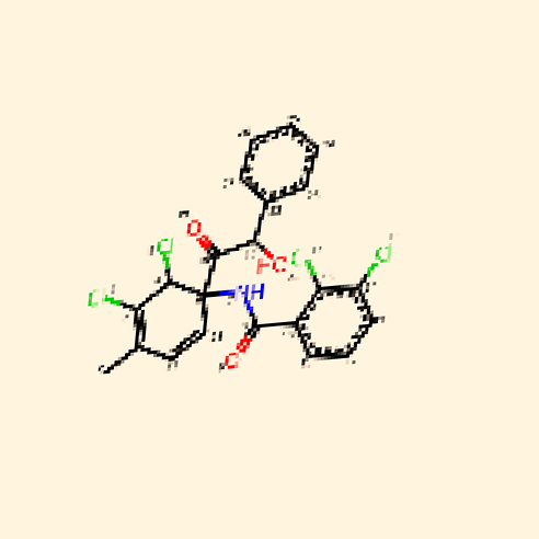 CC1=C(Cl)C(Cl)C(NC(=O)c2cccc(Cl)c2Cl)(C(=O)C(O)c2ccccc2)C=C1